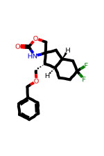 O=C1NC2(CO1)C[C@@H]1CC(F)(F)CC[C@H]1[C@@H]2COCc1ccccc1